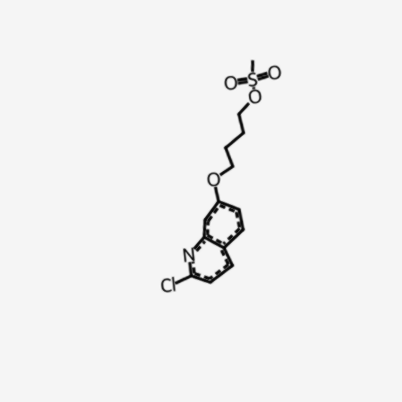 CS(=O)(=O)OCCCCOc1ccc2ccc(Cl)nc2c1